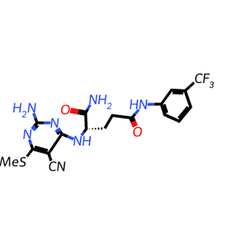 CSc1nc(N)nc(N[C@@H](CCC(=O)Nc2cccc(C(F)(F)F)c2)C(N)=O)c1C#N